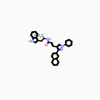 O=C(/C=C/c1cn(-c2ccccc2)nc1-c1ccc2ccccc2c1)N[C@@H](Cc1c[nH]c2ccccc12)C(=O)O